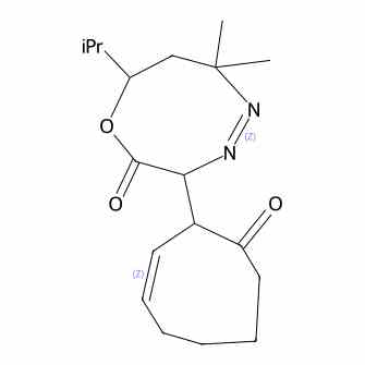 CC(C)C1CC(C)(C)/N=N\C(C2/C=C\CCCCC2=O)C(=O)O1